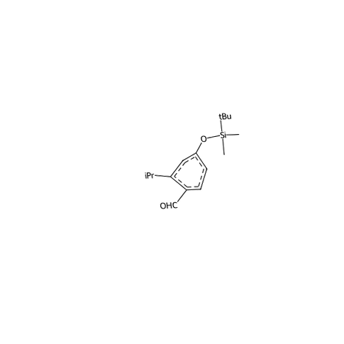 CC(C)c1cc(O[Si](C)(C)C(C)(C)C)ccc1C=O